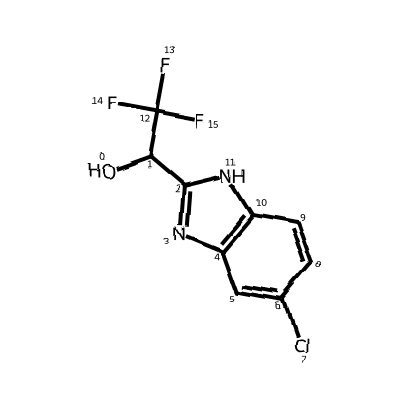 OC(c1nc2cc(Cl)ccc2[nH]1)C(F)(F)F